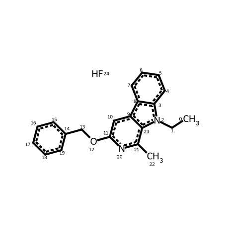 CCn1c2ccccc2c2cc(OCc3ccccc3)nc(C)c21.F